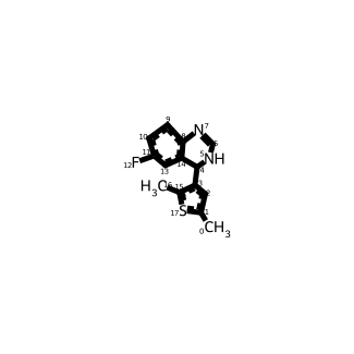 Cc1cc(C2NC=Nc3ccc(F)cc32)c(C)s1